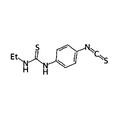 CCNC(=S)Nc1ccc(N=C=S)cc1